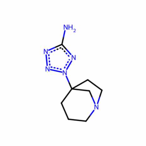 Nc1nnn(C23CCCN(CC2)C3)n1